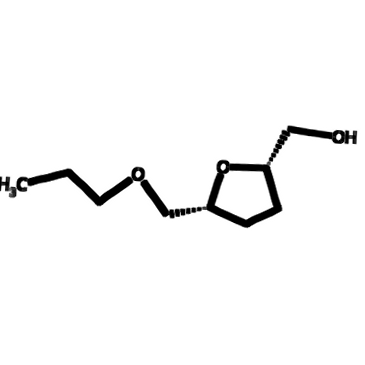 CCCOC[C@H]1CC[C@@H](CO)O1